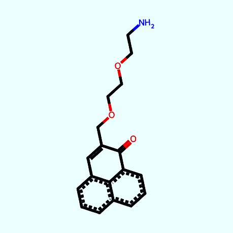 NCCOCCOCC1=Cc2cccc3cccc(c23)C1=O